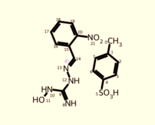 Cc1ccc(S(=O)(=O)O)cc1.N=C(NO)N/N=C/c1ccccc1[N+](=O)[O-]